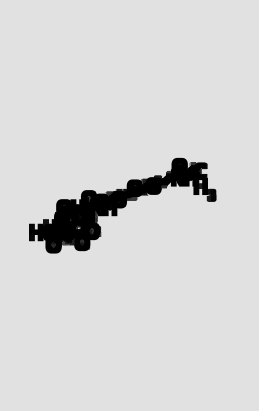 CCCC(=O)NCCCOCCOCCOCCONC(=O)c1cc(C(=O)O)c2c(n1)C(=O)C(=O)c1cc(C(=O)O)[nH]c1-2